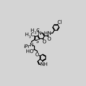 Cc1c(CN(CC(O)COc2cccc3[nH]ccc23)C(C)C)sc2c(=O)c(C(=O)NCc3ccc(Cl)cc3)cn(C)c12